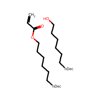 C=CC(=O)OCCCCCCCCCCCCCCCC.CCCCCCCCCCCCCCCCO